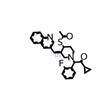 CC(=O)SC1CCN(C(C(=O)C2CC2)c2ccccc2F)C/C1=C/c1cnc2ccccc2c1